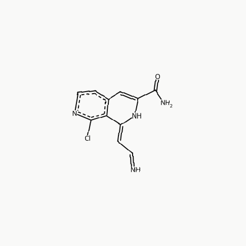 N=C/C=C1\NC(C(N)=O)=Cc2ccnc(Cl)c21